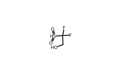 O=[SH](=O)C(F)(F)CO